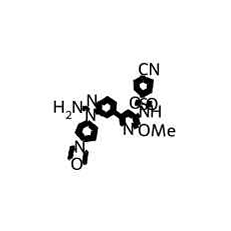 COc1ncc(-c2ccc3nc(N)n(-c4ccc(N5CCOCC5)cc4)c3c2)cc1NS(=O)(=O)c1ccc(C#N)cc1